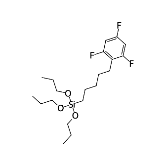 CCCO[Si](CCCCCc1c(F)cc(F)cc1F)(OCCC)OCCC